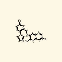 Nc1nc2cc(F)cnc2cc1OCc1nc(O)ccc1-n1cccn1